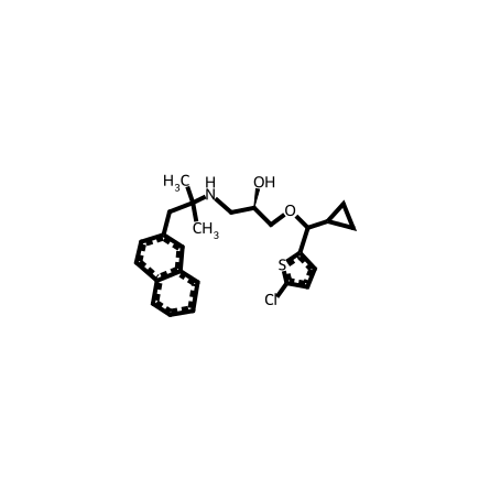 CC(C)(Cc1ccc2ccccc2c1)NC[C@@H](O)COC(c1ccc(Cl)s1)C1CC1